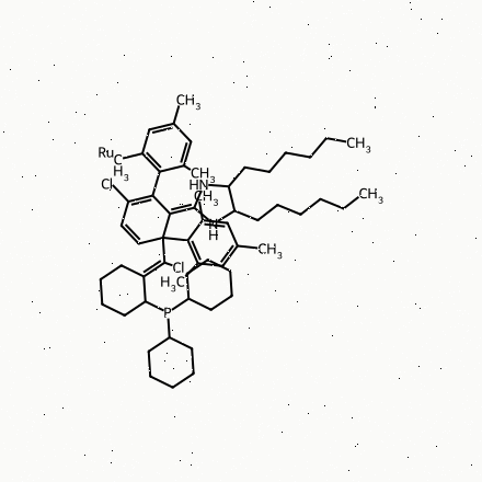 CCCCCCC1NC(=C2C(c3c(C)cc(C)cc3C)=C(Cl)C=CC2(C(Cl)=C2CCCCC2P(C2CCCCC2)C2CCCCC2)c2c(C)cc(C)cc2C)NC1CCCCCC.[Ru]